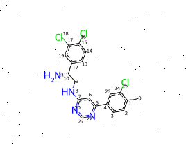 Cc1ccc(-c2cc(NC[C@H](N)c3ccc(Cl)c(Cl)c3)ncn2)cc1Cl